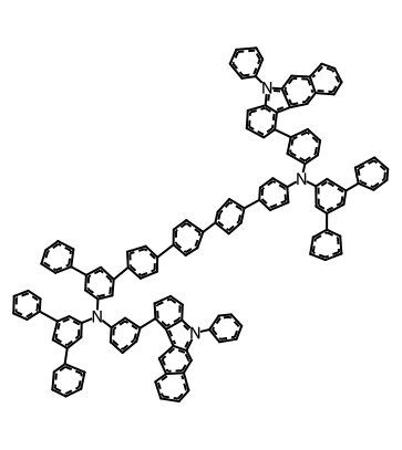 c1ccc(-c2cc(-c3ccccc3)cc(N(c3ccc(-c4ccc(-c5ccc(-c6ccc(-c7cc(-c8ccccc8)cc(N(c8cc(-c9ccccc9)cc(-c9ccccc9)c8)c8cccc(-c9cccc%10c9c9cc%11ccccc%11cc9n%10-c9ccccc9)c8)c7)cc6)cc5)cc4)cc3)c3cccc(-c4cccc5c4c4cc6ccccc6cc4n5-c4ccccc4)c3)c2)cc1